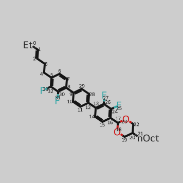 CC/C=C/CCc1ccc(-c2ccc(-c3ccc(C4OCC(CCCCCCCC)CO4)c(F)c3F)cc2)c(F)c1F